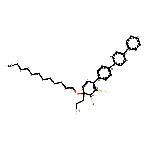 CCCCCCCCCCCCOC1(CCC)C=CC(c2ccc(-c3ccc(-c4ccccc4)cc3)cc2)=C(F)C1F